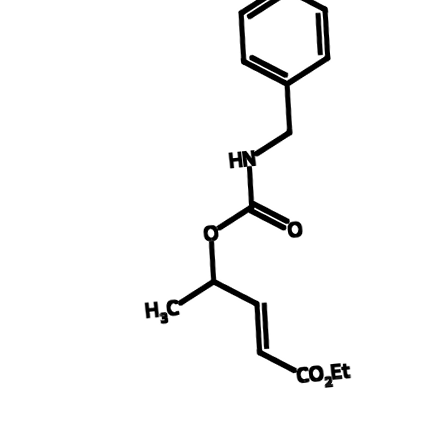 CCOC(=O)/C=C/C(C)OC(=O)NCc1ccccc1